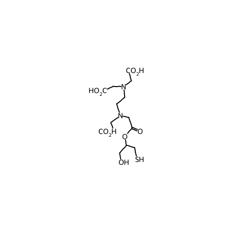 O=C(O)CN(CCN(CC(=O)O)CC(=O)OC(CO)CS)CC(=O)O